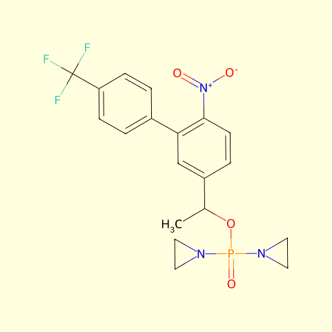 CC(OP(=O)(N1CC1)N1CC1)c1ccc([N+](=O)[O-])c(-c2ccc(C(F)(F)F)cc2)c1